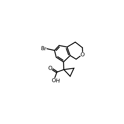 O=C(O)C1(c2cc(Br)cc3c2COCC3)CC1